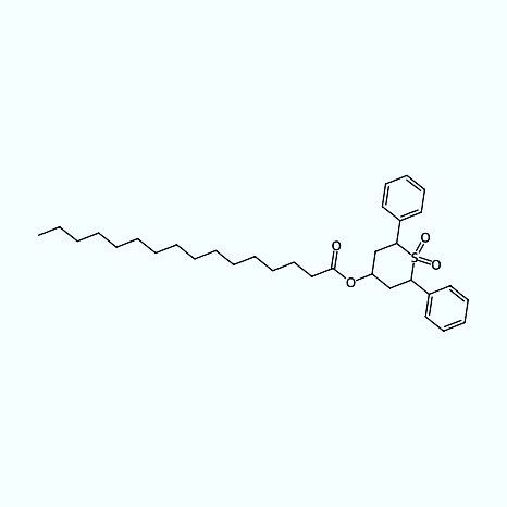 CCCCCCCCCCCCCCCC(=O)OC1CC(c2ccccc2)S(=O)(=O)C(c2ccccc2)C1